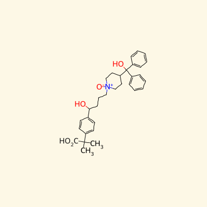 CC(C)(C(=O)O)c1ccc(C(O)CCC[N+]2([O-])CCC(C(O)(c3ccccc3)c3ccccc3)CC2)cc1